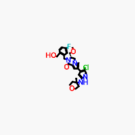 COC[C@H]1Cn2cc(-c3cc(NC4(C)CCOCC4)ncc3Cl)cc2C(=O)N1Cc1cc(F)ccc1CO